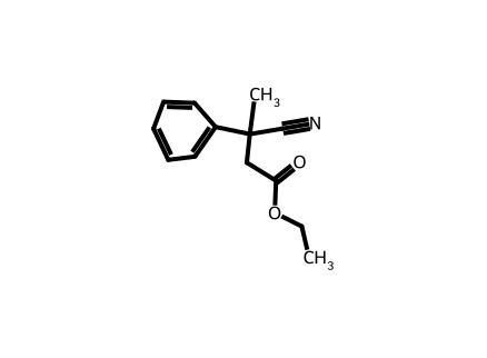 CCOC(=O)CC(C)(C#N)c1ccccc1